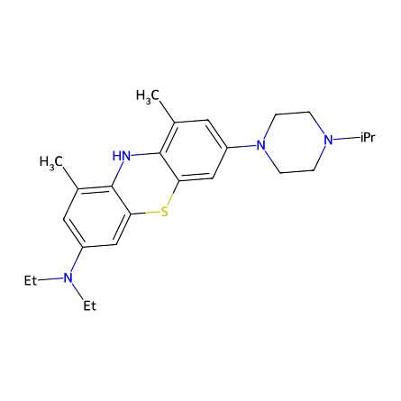 CCN(CC)c1cc(C)c2c(c1)Sc1cc(N3CCN(C(C)C)CC3)cc(C)c1N2